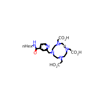 CCCCCCNC(=O)c1ccnc(CN2CCN(CC(=O)O)CCN(CC(=O)O)CCN(CC(=O)O)CC2)c1